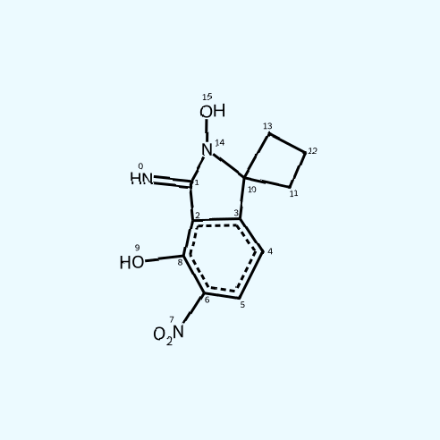 N=C1c2c(ccc([N+](=O)[O-])c2O)C2(CCC2)N1O